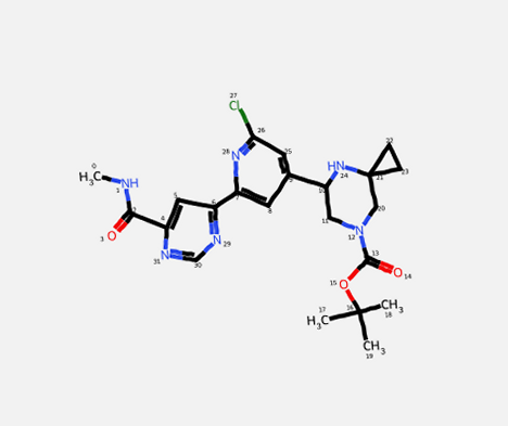 CNC(=O)c1cc(-c2cc(C3CN(C(=O)OC(C)(C)C)CC4(CC4)N3)cc(Cl)n2)ncn1